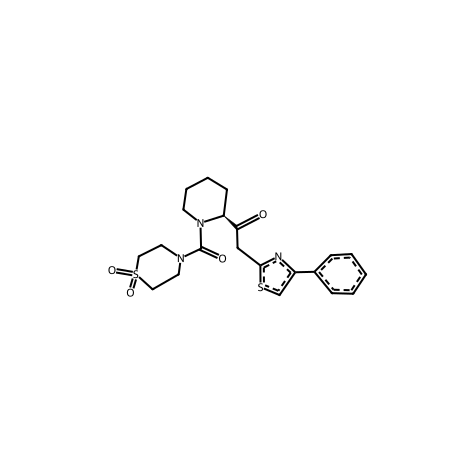 O=C(Cc1nc(-c2ccccc2)cs1)[C@@H]1CCCCN1C(=O)N1CCS(=O)(=O)CC1